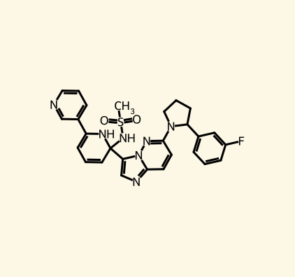 CS(=O)(=O)NC1(c2cnc3ccc(N4CCCC4c4cccc(F)c4)nn23)C=CC=C(c2cccnc2)N1